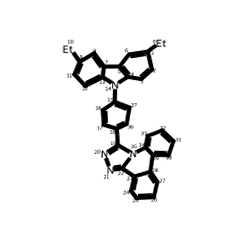 CCc1ccc2c(c1)c1cc(CC)ccc1n2-c1ccc(-c2nnc3c4ccccc4c4ccccc4n23)cc1